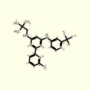 CC(C)(O)CNc1cc(Nc2ccnc(C(F)(F)F)c2)nc(-c2cccc(Cl)n2)n1